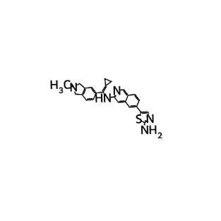 CN1Cc2ccc(C(Nc3cc4cc(-c5cnc(N)s5)ccc4cn3)=C3CC3)cc2C1